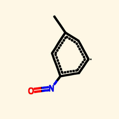 Cc1c[c]cc(N=O)c1